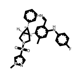 Cc1cc(Nc2ccc(F)cc2)c(C=N)cc1[C@]12CN(S(=O)(=O)c3cnn(C)c3)C[C@H]1[C@@H]2c1ccccc1